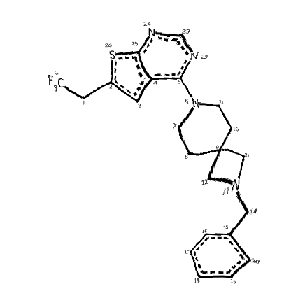 FC(F)(F)Cc1cc2c(N3CCC4(CC3)CN(Cc3ccccc3)C4)ncnc2s1